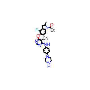 CCC(=O)n1c(C)cc2c(F)c(Oc3ncnc(Nc4ccc(N5CCNCC5)cc4)c3C#N)ccc21